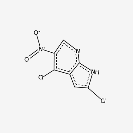 O=[N+]([O-])c1cnc2[nH]c(Cl)cc2c1Cl